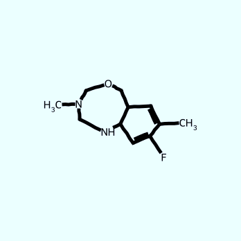 CC1=CC2COCN(C)CNC2C=C1F